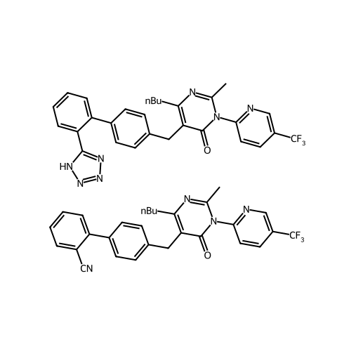 CCCCc1nc(C)n(-c2ccc(C(F)(F)F)cn2)c(=O)c1Cc1ccc(-c2ccccc2-c2nnn[nH]2)cc1.CCCCc1nc(C)n(-c2ccc(C(F)(F)F)cn2)c(=O)c1Cc1ccc(-c2ccccc2C#N)cc1